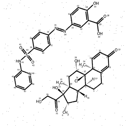 C[C@H]1C[C@H]2[C@@H]3CCC4=CC(=O)C=C[C@]4(C)[C@@]3(Cl)[C@@H](O)C[C@]2(C)[C@@]1(O)C(=O)CO.O=C(O)c1cc(/N=N/c2ccc(S(=O)(=O)Nc3ccccn3)cc2)ccc1O